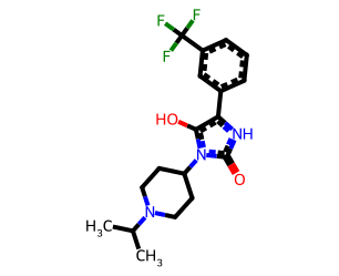 CC(C)N1CCC(n2c(O)c(-c3cccc(C(F)(F)F)c3)[nH]c2=O)CC1